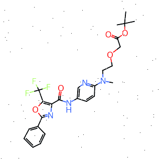 CN(CCOCC(=O)OC(C)(C)C)c1ccc(NC(=O)c2nc(-c3ccccc3)oc2C(F)(F)F)cn1